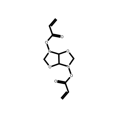 C=CC(=O)ON1COC2C1OCN2OC(=O)C=C